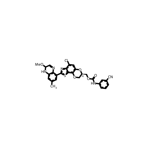 COC1C=Nc2c(cc(C)cc2-c2nc3c(Cl)cc4c(c3s2)OC[C@H](COC(=O)Nc2cccc(C#N)c2)O4)N1